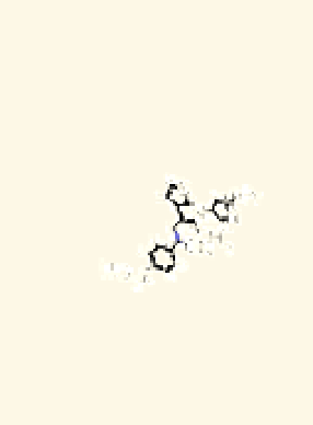 CCCn1cc(-n2c(C)c(/C=C(\C#N)c3ccc(C(=O)O)cc3)c3ccsc32)cn1